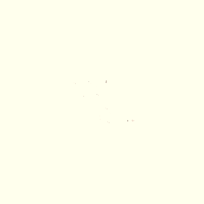 CCCCCCCCCCCc1nc(C(CC)c2nc(N)nc(N)n2)c[nH]1